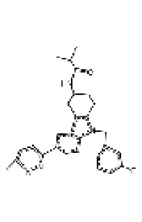 Cc1ccc(-c2ccc3c(c2)c2c(n3Cc3cccc(F)c3)CCC(NC(=O)C(C)C)C2)nn1